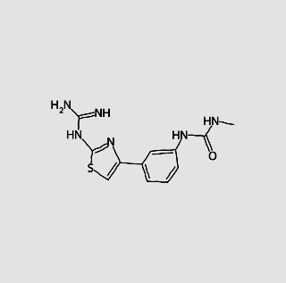 CNC(=O)Nc1cccc(-c2csc(NC(=N)N)n2)c1